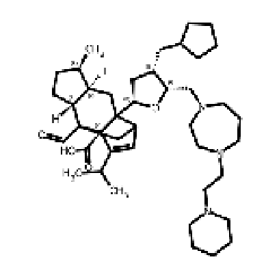 CC(C)C1=CC2CC3(C=O)[C@@H]4CC[C@@H](C)[C@H]4CC2([C@H]2C[C@H](CC4CCCC4)[C@H](CN4CCCN(CCN5CCCCC5)CC4)O2)[C@]13C(=O)O